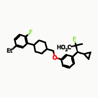 CCc1ccc(F)c(C2CCC(COc3cccc([C@H](C4CC4)C(C)(F)C(=O)O)c3)CC2)c1